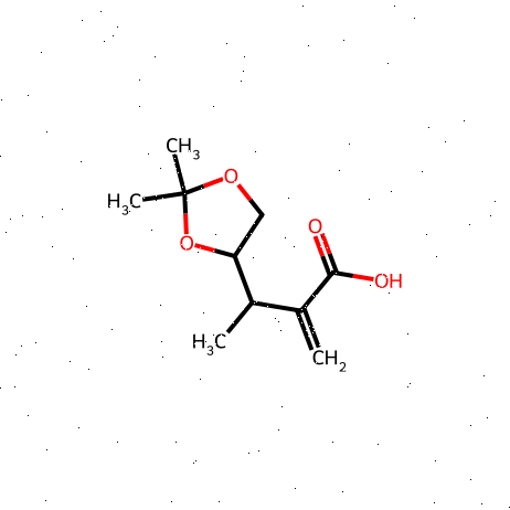 C=C(C(=O)O)C(C)C1COC(C)(C)O1